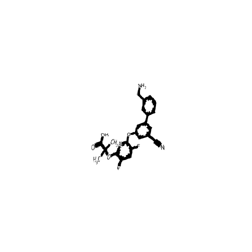 CC(C)(Oc1nc(Oc2cc(C#N)cc(-c3cccc(CN)c3)c2)c(F)cc1F)C(=O)O